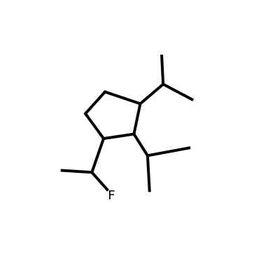 CC(C)C1CCC(C(C)F)C1C(C)C